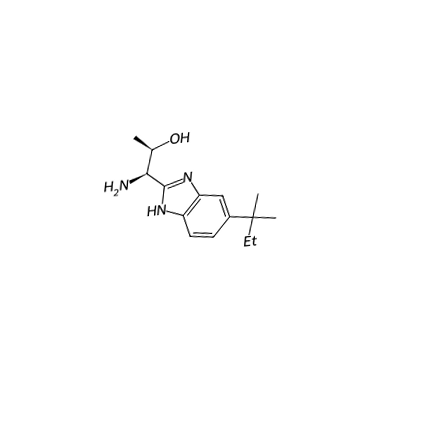 CCC(C)(C)c1ccc2[nH]c([C@@H](N)[C@@H](C)O)nc2c1